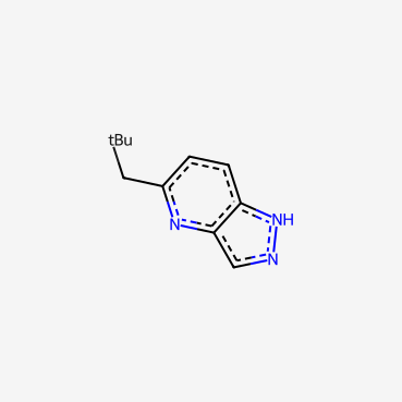 CC(C)(C)Cc1ccc2[nH]ncc2n1